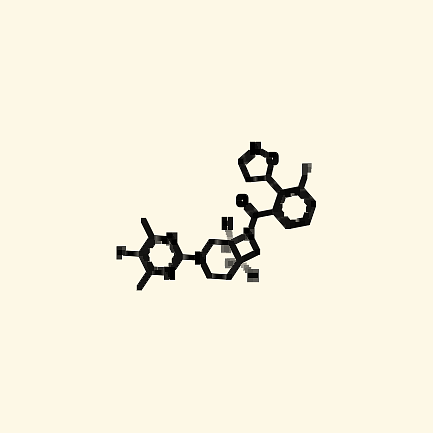 Cc1nc(N2CC[C@@H]3CN(C(=O)c4cccc(F)c4C4CC=NO4)[C@@H]3C2)nc(C)c1F